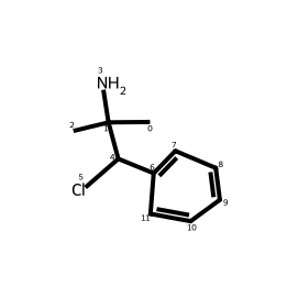 CC(C)(N)C(Cl)c1ccccc1